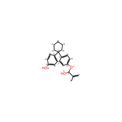 C=C(C)C(O)Oc1ccc(C2(c3ccc(O)cc3)CCCCC2)cc1